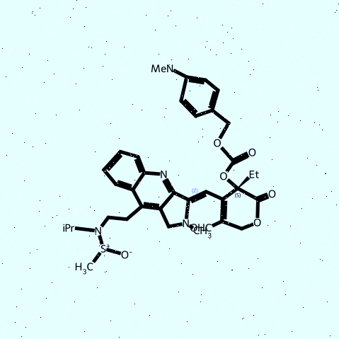 CC[C@@]1(OC(=O)OCc2ccc(NC)cc2)C(=O)OCC(C=O)=C1/C=C1/c2nc3ccccc3c(CCN(C(C)C)[S+](C)[O-])c2CN1C